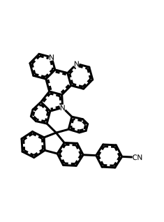 N#Cc1ccc(-c2ccc3c(c2)C2(c4ccccc4-3)c3ccccc3-n3c4c2cccc4c2c4cccnc4c4ncccc4c23)cc1